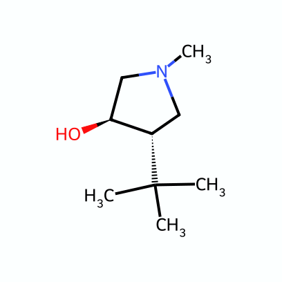 CN1C[C@H](O)[C@@H](C(C)(C)C)C1